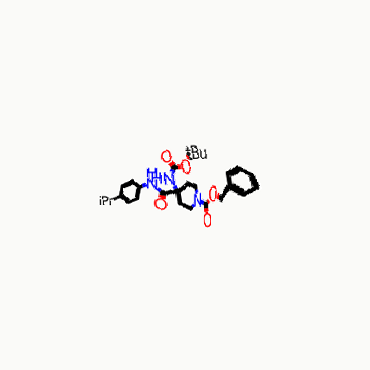 CC(C)c1ccc(NC(=O)C2(NC(=O)OC(C)(C)C)CCN(C(=O)OCc3ccccc3)CC2)cc1